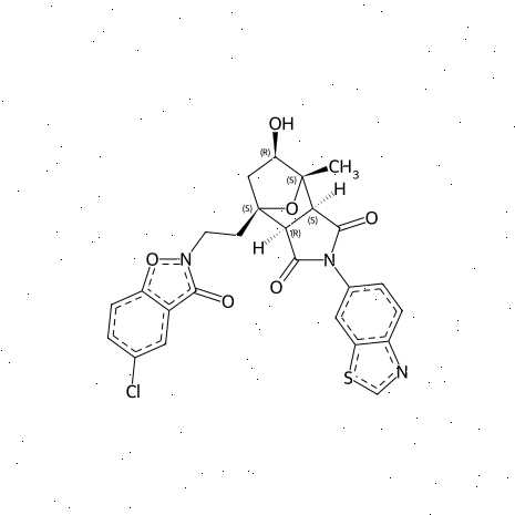 C[C@@]12O[C@@](CCn3oc4ccc(Cl)cc4c3=O)(C[C@H]1O)[C@@H]1C(=O)N(c3ccc4ncsc4c3)C(=O)[C@@H]12